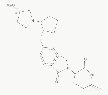 CO[C@H]1CCN(C2CCCC2Oc2ccc3c(c2)CN(C2CCC(=O)NC2=O)C3=O)C1